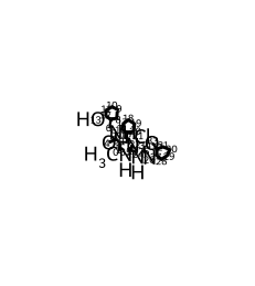 CC1=C(C(=O)NCc2ccccc2O)C(c2ccccc2Cl)N=C(NC2=Nc3ccccc3OC2)N1